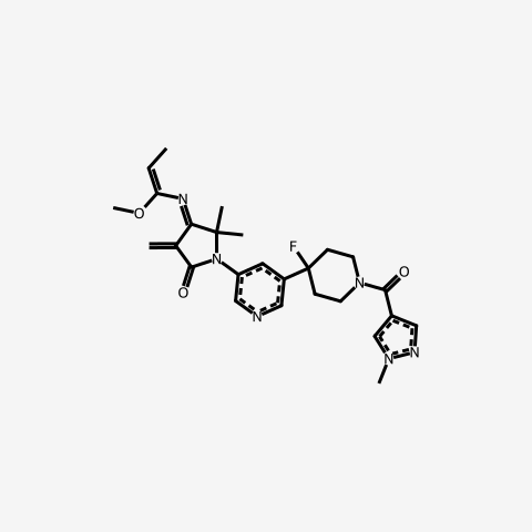 C=C1C(=O)N(c2cncc(C3(F)CCN(C(=O)c4cnn(C)c4)CC3)c2)C(C)(C)/C1=N/C(=C\C)OC